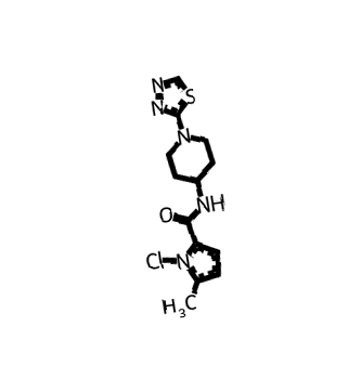 Cc1ccc(C(=O)NC2CCN(c3nncs3)CC2)n1Cl